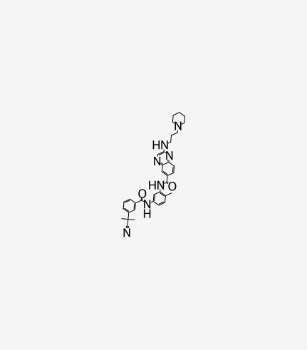 Cc1ccc(NC(=O)c2cccc(C(C)(C)C#N)c2)cc1NC(=O)c1ccc2nc(NCCCN3CCCCC3)cnc2c1